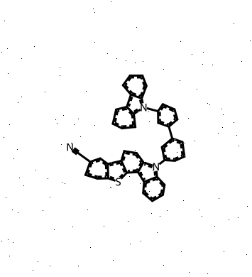 N#Cc1ccc2sc3c(ccc4c3c3ccccc3n4-c3cccc(-c4cccc(-n5c6ccccc6c6ccccc65)c4)c3)c2c1